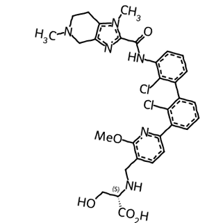 COc1nc(-c2cccc(-c3cccc(NC(=O)c4nc5c(n4C)CCN(C)C5)c3Cl)c2Cl)ccc1CN[C@@H](CO)C(=O)O